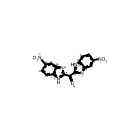 O=C(c1nc2cc([N+](=O)[O-])ccc2[nH]1)c1nc2cc([N+](=O)[O-])ccc2[nH]1